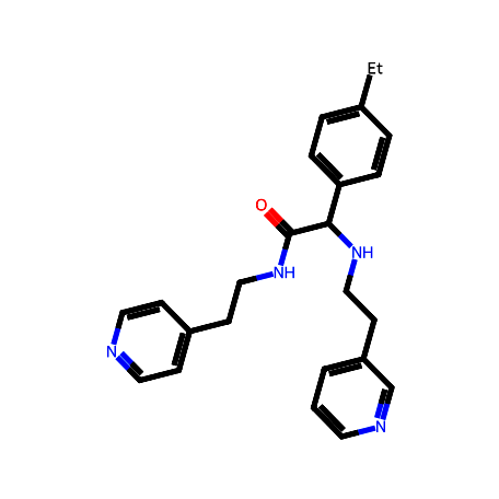 CCc1ccc(C(NCCc2cccnc2)C(=O)NCCc2ccncc2)cc1